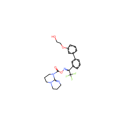 O=C(O/N=C(/c1cccc(-c2cccc(OCCO)c2)c1)C(F)(F)F)N1CCCN2CCCN=C21